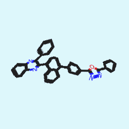 c1ccc(-c2nnc(-c3ccc(-c4ccc(-c5nc6ccccc6nc5-c5ccccc5)c5ccccc45)cc3)o2)cc1